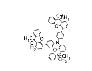 CC1(C)c2ccccc2Oc2c(-c3ccc(N(c4ccc(-c5cccc6c5Oc5ccccc5C6(C)C)cc4)c4cccc5c4Oc4ccccc4[Si]5(C)C)cc3)cccc21